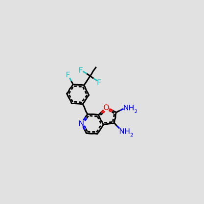 CC(F)(F)c1cc(-c2nccc3c(N)c(N)oc23)ccc1F